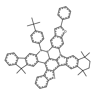 CC(C)(C)c1ccc(N2B3c4cc5cc(-c6ccccc6)oc5cc4-n4c5cc6c(cc5c5c7sc8ccccc8c7c(c3c54)-c3cc4c(cc32)-c2ccccc2C4(C)C)C(C)(C)CCC6(C)C)cc1